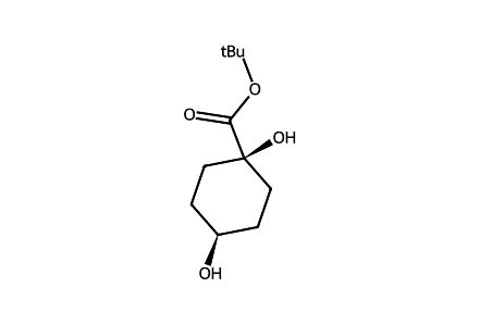 CC(C)(C)OC(=O)[C@]1(O)CC[C@@H](O)CC1